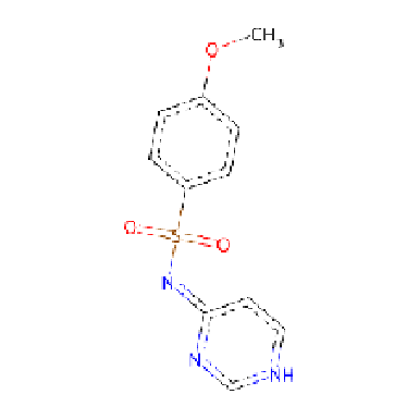 COc1ccc(S(=O)(=O)/N=c2\cc[nH]cn2)cc1